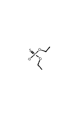 CCOP([O])(=S)OCC